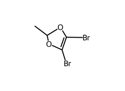 CC1OC(Br)=C(Br)O1